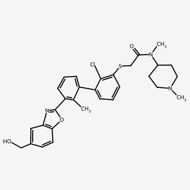 Cc1c(-c2nc3cc(CO)ccc3o2)cccc1-c1cccc(SCC(=O)N(C)C2CCN(C)CC2)c1Cl